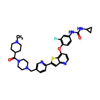 CN1CCC(C(=O)N2CCN(Cc3ccc(-c4cc5nccc(Oc6ccc(NC(=O)NC7CC7)cc6F)c5s4)nc3)CC2)CC1